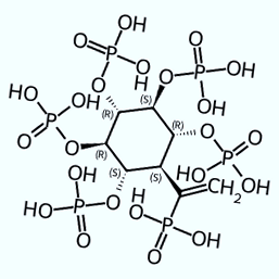 C=C([C@H]1[C@H](OP(=O)(O)O)[C@@H](OP(=O)(O)O)[C@H](OP(=O)(O)O)[C@@H](OP(=O)(O)O)[C@@H]1OP(=O)(O)O)P(=O)(O)O